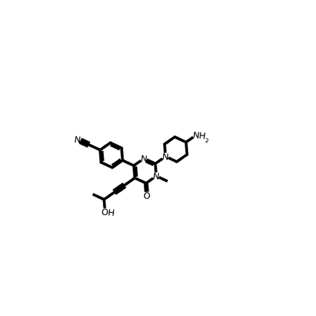 CC(O)C#Cc1c(-c2ccc(C#N)cc2)nc(N2CCC(N)CC2)n(C)c1=O